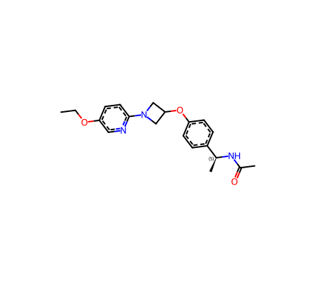 CCOc1ccc(N2CC(Oc3ccc([C@H](C)NC(C)=O)cc3)C2)nc1